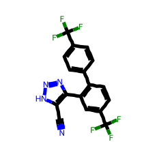 N#Cc1[nH]nnc1-c1cc(C(F)(F)F)ccc1-c1ccc(C(F)(F)F)cc1